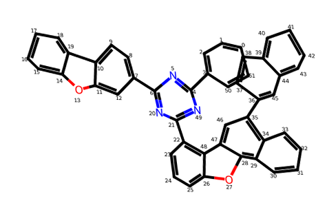 c1ccc(-c2nc(-c3ccc4c(c3)oc3ccccc34)nc(-c3cccc4oc5c6ccccc6c(-c6ccc7ccccc7c6)cc5c34)n2)cc1